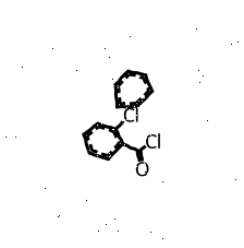 O=C(Cl)c1ccccc1Cl.c1ccccc1